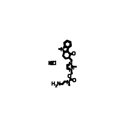 Cc1n(CC2CCc3c(c4ccccc4n3C)C2=O)cc[n+]1COC(=O)N(C)CCN.Cl.[Cl-]